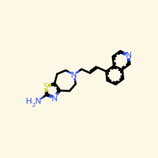 Nc1nc2c(s1)CCN(C/C=C/c1cccc3cnccc13)CC2